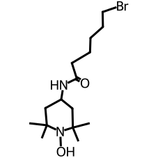 CC1(C)CC(NC(=O)CCCCCBr)CC(C)(C)N1O